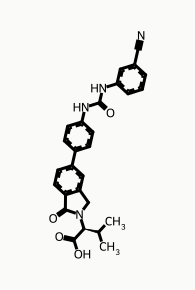 CC(C)[C@@H](C(=O)O)N1Cc2cc(-c3ccc(NC(=O)Nc4cccc(C#N)c4)cc3)ccc2C1=O